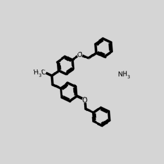 CC(Cc1ccc(OCc2ccccc2)cc1)c1ccc(OCc2ccccc2)cc1.N